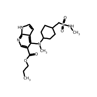 CCCOC(=O)c1cnc2[nH]ccc2c1N(C)C1CCC(CS(=O)(=O)NC)CC1